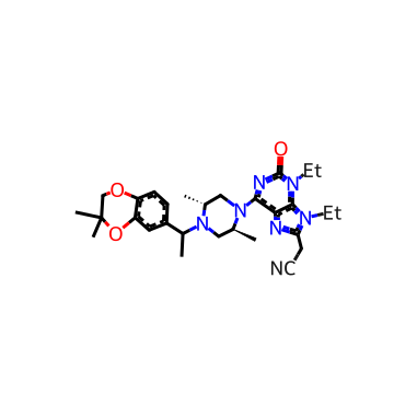 CCn1c(CC#N)nc2c(N3C[C@@H](C)N(C(C)c4ccc5c(c4)OC(C)(C)CO5)C[C@@H]3C)nc(=O)n(CC)c21